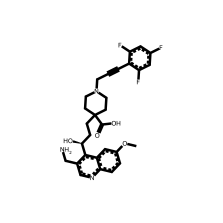 COc1ccc2ncc(CN)c([C@@H](O)CCC3(C(=O)O)CCN(CC#Cc4c(F)cc(F)cc4F)CC3)c2c1